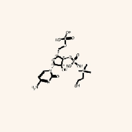 C[N+](C)(C)CCO.Nc1ccn([C@@H]2O[C@H](COP(=O)(O)O)[C@@H](OP(=O)(O)O)[C@H]2O)c(=O)n1